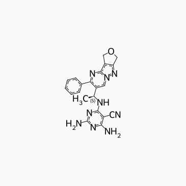 C[C@H](Nc1nc(N)nc(N)c1C#N)c1cn2nc3c(c2nc1-c1ccccc1)COC3